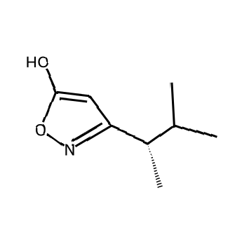 CC(C)[C@H](C)c1cc(O)on1